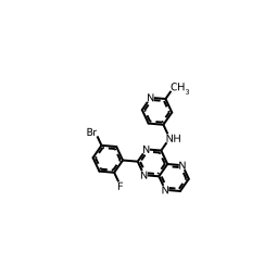 Cc1cc(Nc2nc(-c3cc(Br)ccc3F)nc3nccnc23)ccn1